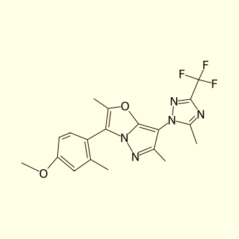 COc1ccc(-c2c(C)oc3c(-n4nc(C(F)(F)F)nc4C)c(C)nn23)c(C)c1